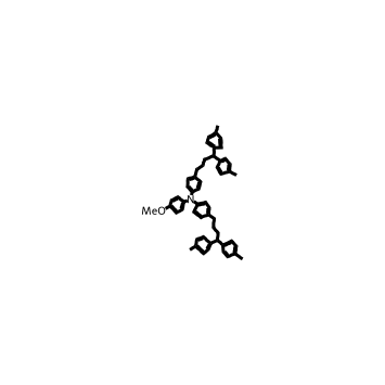 COc1ccc(N(c2ccc(CCCC(c3ccc(C)cc3)c3ccc(C)cc3)cc2)c2ccc(CCCC(c3ccc(C)cc3)c3ccc(C)cc3)cc2)cc1